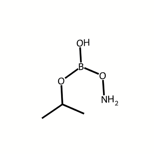 CC(C)OB(O)ON